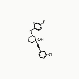 O[C@]1(C#Cc2cccc(Cl)c2)CCC[C@@H](Nc2ccc(F)cn2)C1